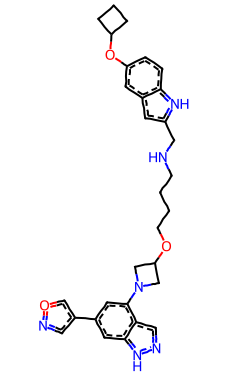 c1cc2[nH]c(CNCCCCOC3CN(c4cc(-c5cnoc5)cc5[nH]ncc45)C3)cc2cc1OC1CCC1